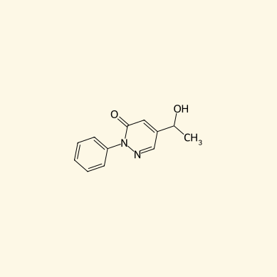 CC(O)c1cnn(-c2ccccc2)c(=O)c1